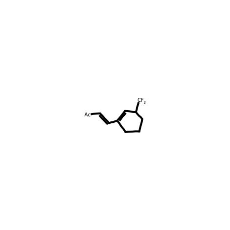 CC(=O)C=CC1=CC(C(F)(F)F)CCC1